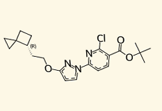 CC(C)(C)OC(=O)c1ccc(-n2ccc(OCC[C@H]3CCC34CC4)n2)nc1Cl